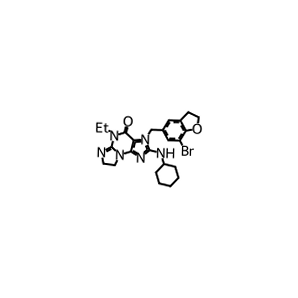 CCN1C(=O)c2c(nc(NC3CCCCC3)n2Cc2cc(Br)c3c(c2)CCO3)N2CCN=C12